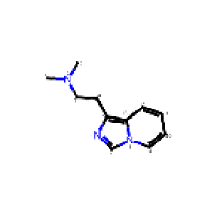 CN(C)CCc1ncn2ccccc12